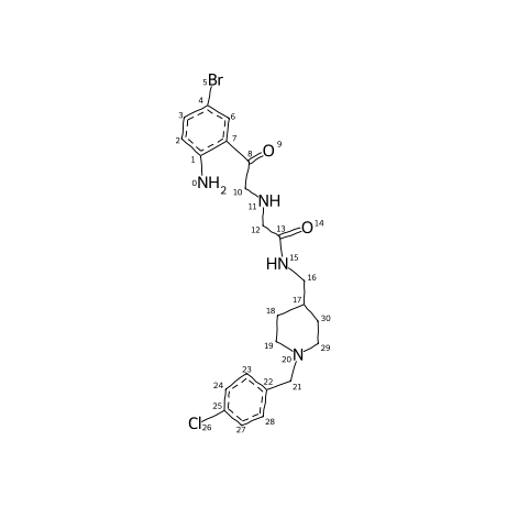 Nc1ccc(Br)cc1C(=O)CNCC(=O)NCC1CCN(Cc2ccc(Cl)cc2)CC1